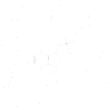 [O-][s+]1cc(CC(F)(F)F)c2ccccc21